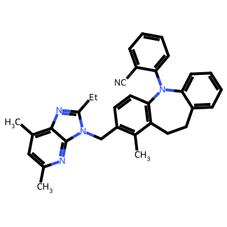 CCc1nc2c(C)cc(C)nc2n1Cc1ccc2c(c1C)CCc1ccccc1N2c1ccccc1C#N